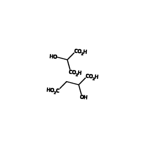 O=C(O)C(O)C(=O)O.O=C(O)CC(O)C(=O)O